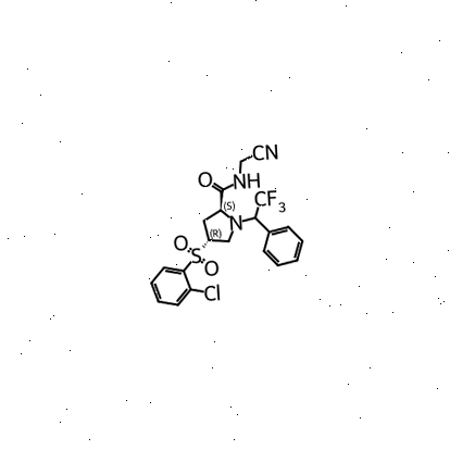 N#CCNC(=O)[C@@H]1C[C@@H](S(=O)(=O)c2ccccc2Cl)CN1C(c1ccccc1)C(F)(F)F